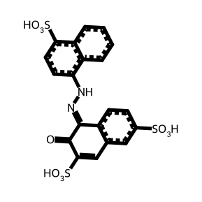 O=C1C(S(=O)(=O)O)=Cc2cc(S(=O)(=O)O)ccc2/C1=N\Nc1ccc(S(=O)(=O)O)c2ccccc12